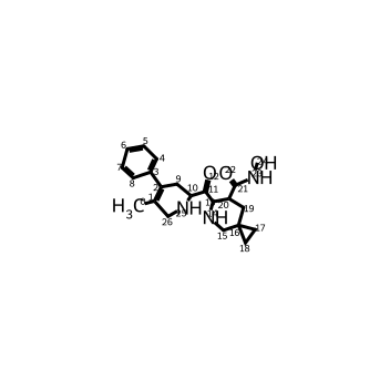 CC1=C(c2ccccc2)CC(C(=O)C2NCC3(CC3)CC2C(=O)NO)NC1